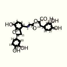 O=C(/C=C/c1ccc(O)c2c1C[C@@H](c1ccc(O)c(O)c1)O2)O[C@H](Cc1ccc(O)c(O)c1)C(=O)O